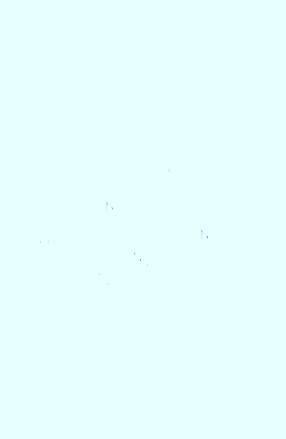 O=C=NC(N=C=O)c1ccccn1